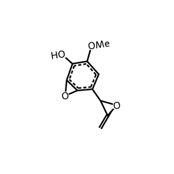 C=C1OC1c1cc(OC)c(O)c2c1O2